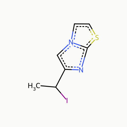 CC(I)c1cn2ccsc2n1